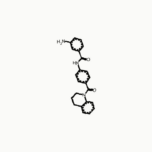 Nc1cccc(C(=O)Nc2ccc(C(=O)N3CCCc4ccccc43)cc2)c1